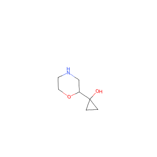 OC1(C2CNCCO2)CC1